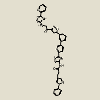 O=C(CCc1cnn(-c2ccccc2)c1)Nc1nnc(-c2ccc(-c3cccc(C4CC(C(=O)CNc5nnc(-c6ccccn6)[nH]5)=NO4)c3)cn2)[nH]1